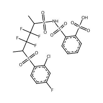 CC(C(F)(F)C(F)(F)C(C)S(=O)(=O)c1ccc(F)cc1Cl)S(=O)(=O)NS(=O)(=O)c1ccccc1S(=O)(=O)O